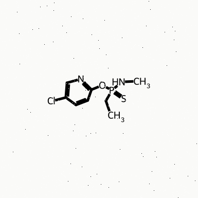 CCP(=S)(NC)Oc1ccc(Cl)cn1